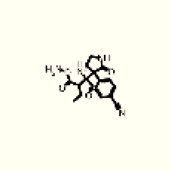 CCC(C(=O)ON)C(N)(C=O)C1(c2ccc(C#N)cc2)CCNC1=O